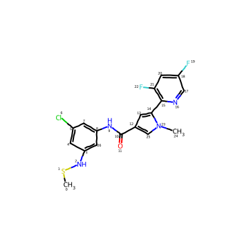 CSNc1cc(Cl)cc(NC(=O)c2cc(-c3ncc(F)cc3F)n(C)c2)c1